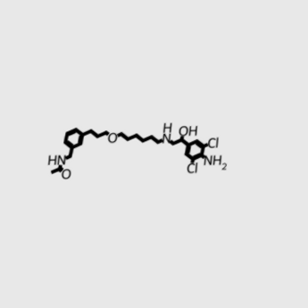 CC(=O)NCc1cccc(CCCOCCCCCCNCC(O)c2cc(Cl)c(N)c(Cl)c2)c1